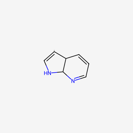 [C]1=CNC2N=CC=CC12